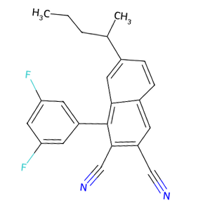 CCCC(C)c1ccc2cc(C#N)c(C#N)c(-c3cc(F)cc(F)c3)c2c1